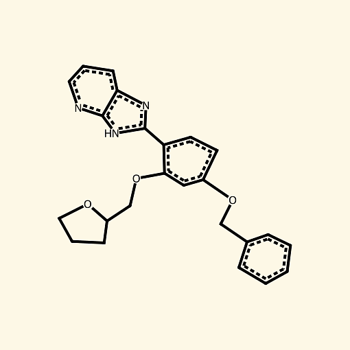 c1ccc(COc2ccc(-c3nc4cccnc4[nH]3)c(OCC3CCCO3)c2)cc1